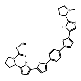 CN1CCC[C@@H]1c1ncc(-c2ccc(-c3ccc(-c4ccc(-c5cnc([C@H]6CCCN6C(=O)OC(C)(C)C)[nH]5)s4)cc3)s2)[nH]1